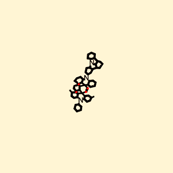 Cc1ccc2c(c1)C1(c3cc(C)ccc3N2c2ccccc2)c2ccccc2C2(c3ccccc3N(c3ccc4c(c3)c3cccc5c6ccccc6n4c53)c3ccccc32)c2ccccc21